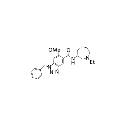 CCN1CCCCC(NC(=O)c2cc3nnn(Cc4ccccc4)c3cc2OC)C1